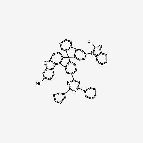 CCc1nc2ccccc2n1-c1ccc2c(c1)-c1ccccc1C21c2ccc(-c3nc(-c4ccccc4)nc(-c4ccccc4)n3)cc2-c2c1ccc1oc3cc(C#N)ccc3c21